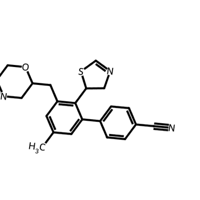 Cc1cc(CC2CNCCO2)c(C2CN=CS2)c(-c2ccc(C#N)cc2)c1